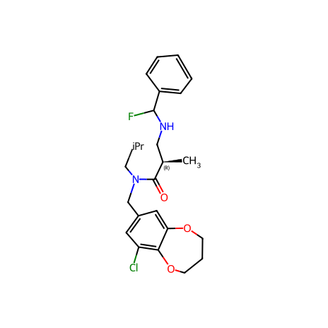 CC(C)CN(Cc1cc(Cl)c2c(c1)OCCCO2)C(=O)[C@H](C)CNC(F)c1ccccc1